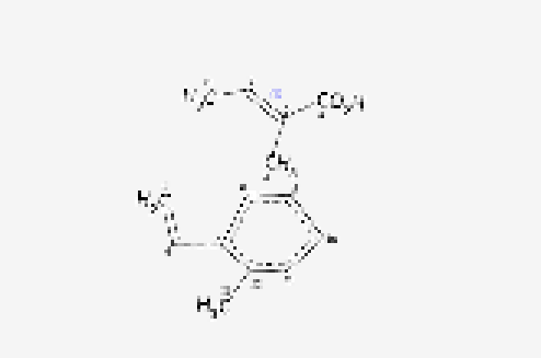 C/C=C(\C)C(=O)O.C=Cc1ccccc1C